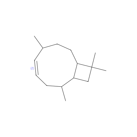 CC1/C=C\CC(C)C2CC(C)(C)C2CC1